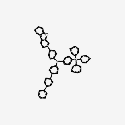 c1ccc(-c2ccc(-c3ccc(N(c4ccc(-c5ccc6c(c5)oc5ccccc56)cc4)c4ccc([Si](c5ccccc5)(c5ccccc5)c5ccccc5)cc4)cc3)cc2)cc1